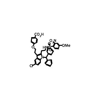 COc1ccc(S(=O)(=O)NCCc2c(CCOc3ccc(C(=O)O)cc3)c3cc(Cl)ccc3n2C(c2ccccc2)c2ccccc2)c([N+](=O)[O-])c1